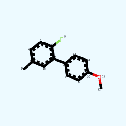 [CH2]c1ccc(F)c(-c2ccc(OC)cc2)c1